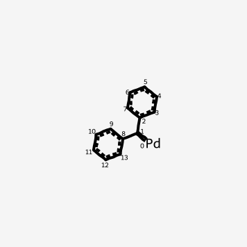 [Pd]=[C](c1ccccc1)c1ccccc1